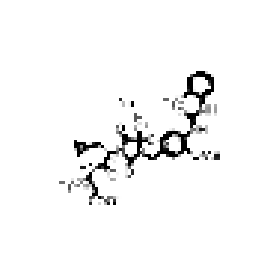 COc1cc(CN2C(=O)N([C@@H](CC3CC3)C(=O)N[C@H](C)CC(=O)[O-])C(=O)C2(C)C)ccc1NC(=O)Nc1ccccc1C.[Na+]